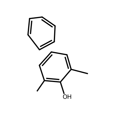 Cc1cccc(C)c1O.c1ccccc1